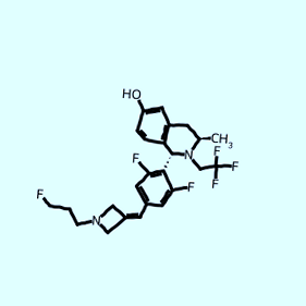 C[C@@H]1Cc2cc(O)ccc2[C@@H](c2c(F)cc(C=C3CN(CCCF)C3)cc2F)N1CC(F)(F)F